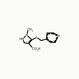 CN1NCC(C(=O)O)=C1SCc1ccncc1